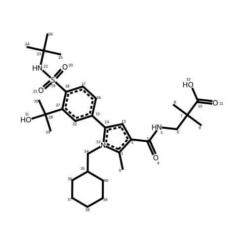 Cc1c(C(=O)NCC(C)(C)C(=O)O)cc(-c2ccc(S(=O)(=O)NC(C)(C)C)c(C(C)(C)O)c2)n1CC1CCCCC1